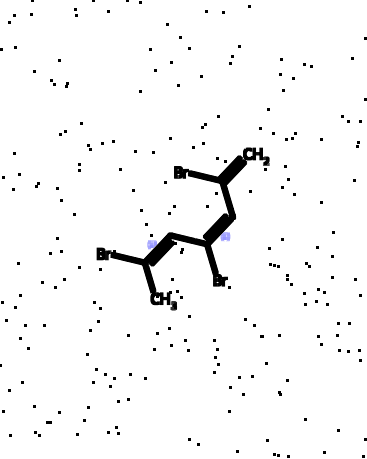 C=C(Br)/C=C(Br)\C=C(/C)Br